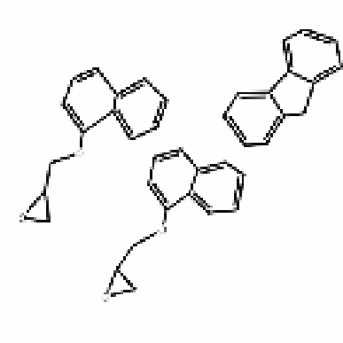 c1ccc2c(OCC3CO3)cccc2c1.c1ccc2c(OCC3CO3)cccc2c1.c1ccc2c(c1)Cc1ccccc1-2